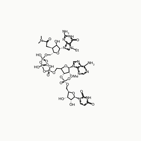 CC[n+]1cn([C@@H]2O[C@H](COP(=O)(O)OP(=O)(O)OP(=O)(O)OCC3O[C@@H](n4cnc5c(N)ncnc54)[C@H](OC)[C@@H]3OP(=O)([O-])OC[C@H]3O[C@@H](n4ccc(=O)[nH]c4=O)[C@H](O)[C@@H]3O)[C@@H](CC(=O)N(C)C)[C@H]2O)c2nc(N)[nH]c(=O)c21